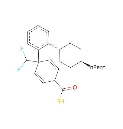 CCCCC[C@H]1CC[C@H](c2ccccc2C2(C(F)F)C=CC(C(=O)S)C=C2)CC1